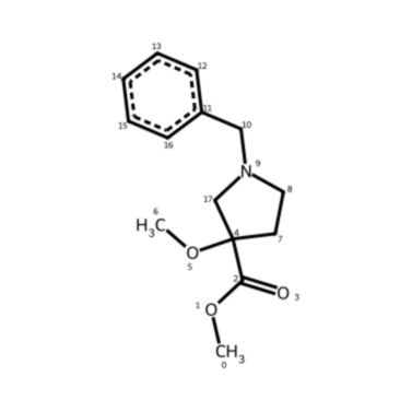 COC(=O)C1(OC)CCN(Cc2ccccc2)C1